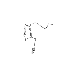 CCCCc1ccsc1CC#N